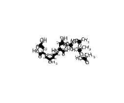 CC(=O)O.CC(=O)O.CC(=O)O.CC(=O)O.CC(CCCN[C@@H](CC(=O)O)C(=O)O)CN[C@@H](CC(=O)O)C(=O)O